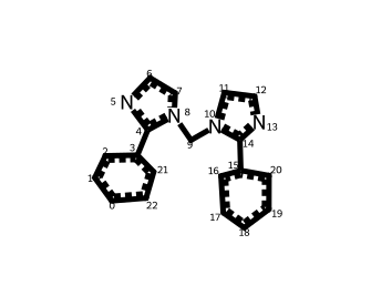 c1ccc(-c2nccn2Cn2ccnc2-c2ccccc2)cc1